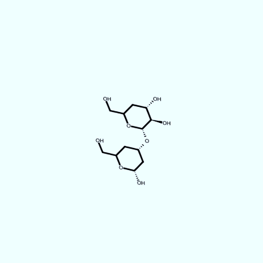 OCC1C[C@H](O)[C@@H](O)[C@H](O[C@H]2CC(CO)O[C@@H](O)C2)O1